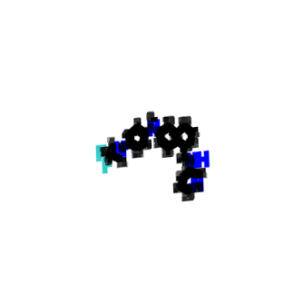 CN(c1ccc(N2CC(F)(F)C2)cc1)c1ccc2c(c1)CCC[C@H]2CNc1cccnc1